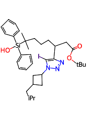 CC(C)CC1CC(n2nnc(C(CCCC(C)(C)[Si](O)(c3ccccc3)c3ccccc3)CC(=O)OC(C)(C)C)c2I)C1